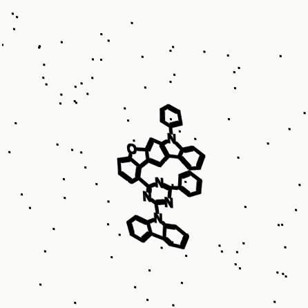 c1ccc(-c2nc(-c3cccc4oc5cc6c(cc5c34)c3ccccc3n6-c3ccccc3)nc(-n3c4ccccc4c4ccccc43)n2)cc1